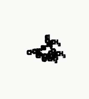 CN(C)c1ccc(C=Cc2n(C)c3cc(Cl)ccc3[n+]2CCSSCC[n+]2c(C=Cc3ccc(N(C)C)c4ccccc34)n(C)c3cc(Cl)ccc32)c2ccccc12